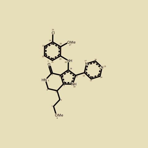 COCCC1CNC(=O)c2c1[nH]c(-c1ccncn1)c2Nc1cccc(Cl)c1OC